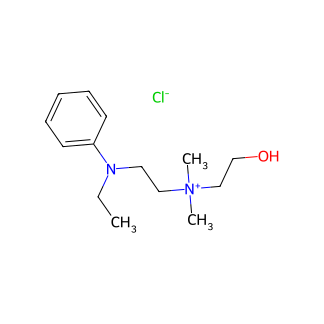 CCN(CC[N+](C)(C)CCO)c1ccccc1.[Cl-]